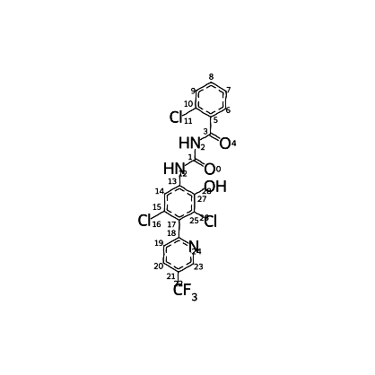 O=C(NC(=O)c1ccccc1Cl)Nc1cc(Cl)c(-c2ccc(C(F)(F)F)cn2)c(Cl)c1O